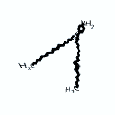 CCCCCCCCCCCCCCCCCCN(CCCCCCCCCCCCCCCCCC)c1ccc(N)cc1